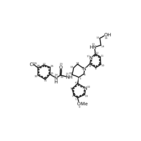 COc1ccc([C@@H]2CN(c3cccc(NCCO)n3)CC[C@H]2NC(=O)Nc2ccc(Cl)cc2)nc1